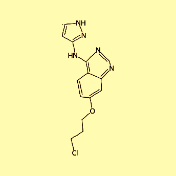 ClCCCOc1ccc2c(Nc3c[c][nH]n3)ncnc2c1